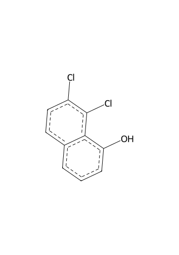 Oc1cccc2ccc(Cl)c(Cl)c12